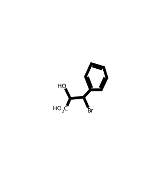 O=C(O)C(O)C(Br)c1ccccc1